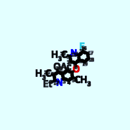 CCc1nc2cc(C)c(Oc3cc(C)nc4c(F)cccc34)cc2c(OC(C)=O)c1C